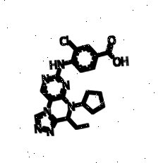 CCC1c2nncn2-c2cnc(Nc3ccc(C(=O)O)cc3Cl)nc2N1C1CCCC1